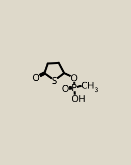 CP(=O)(O)OC1CCC(=O)S1